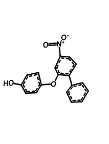 O=[N+]([O-])c1ccc(-c2ccccc2)c(Oc2ccc(O)cc2)c1